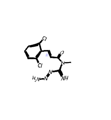 CN(C(=N)N=NN)C(=O)/C=C/c1c(Cl)cccc1Cl